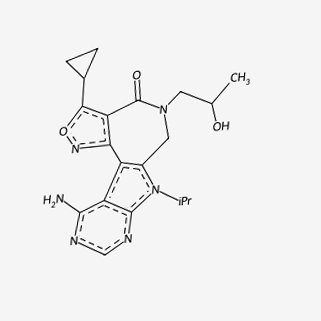 CC(O)CN1Cc2c(c3c(N)ncnc3n2C(C)C)-c2noc(C3CC3)c2C1=O